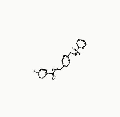 O=C(NCc1ccc(CNS(=O)(=O)c2ccccc2)cc1)c1ccc(F)cc1